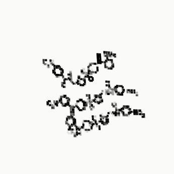 COc1ccccc1NC1CCN(S(=O)(=O)c2ccc(CNC(=O)c3ccc([N+](=O)[O-])cc3)s2)CC1.O=C(NCc1ccc(S(=O)(=O)N2CCC(Nc3cccc([N+](=O)[O-])c3)CC2)s1)c1ccc([N+](=O)[O-])cc1.O=C(NCc1ccc(S(=O)(=O)N2CCC(Nc3ccccc3C(F)(F)F)CC2)s1)c1ccc([N+](=O)[O-])cc1